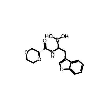 O=C(NC(Cc1coc2ccccc12)B(O)O)[C@H]1COCCO1